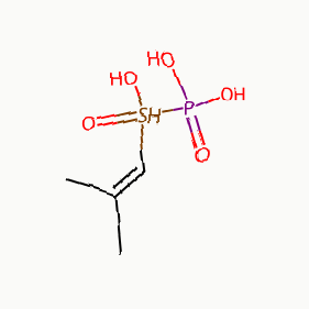 CC(C)=C[SH](=O)(O)P(=O)(O)O